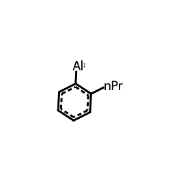 CCCc1cccc[c]1[Al]